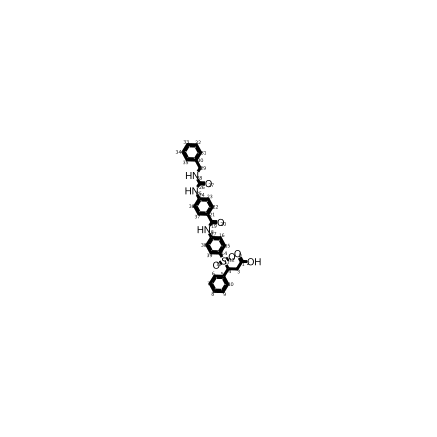 O=C(O)CC(c1ccccc1)S(=O)(=O)c1ccc(NC(=O)c2ccc(NC(=O)NCc3ccccc3)cc2)cc1